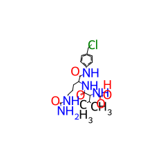 CC(C)C(NC(=O)O)C(=O)NC(CCCNC(N)=O)C(=O)Nc1ccc(CCl)cc1